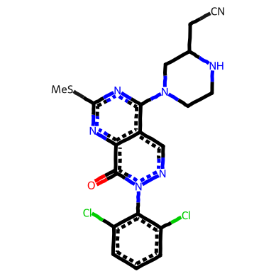 CSc1nc(N2CCNC(CC#N)C2)c2cnn(-c3c(Cl)cccc3Cl)c(=O)c2n1